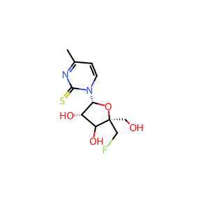 Cc1ccn([C@@H]2O[C@@](CO)(CF)C(O)[C@@H]2O)c(=S)n1